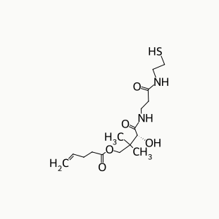 C=CCCC(=O)OCC(C)(C)[C@@H](O)C(=O)NCCC(=O)NCCS